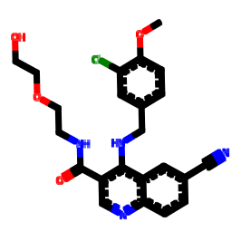 COc1ccc(CNc2c(C(=O)NCCOCCO)cnc3ccc(C#N)cc23)cc1Cl